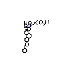 C[C@]12CCC3c4ccc(OCc5ccccc5)cc4CCC3C1C/C(=C(/O)CCC(=O)O)C2=O